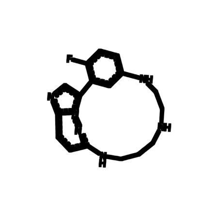 Fc1ccc2cc1-c1cnc3ccc(nn13)NCCCNCCN2